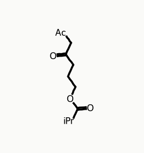 CC(=O)CC(=O)CCCOC(=O)C(C)C